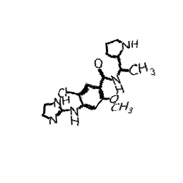 COc1cc(NC2=NCCN2)c(Cl)cc1C(=O)NC(C)C1CCCN1